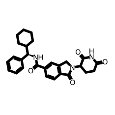 O=C1CCC(N2Cc3cc(C(=O)N[C@@H](c4ccccc4)C4CCCCC4)ccc3C2=O)C(=O)N1